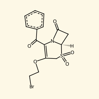 O=C(C1=C(OCCBr)CS(=O)(=O)[C@@H]2CC(=O)N12)c1ccccc1